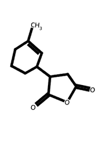 CC1=CC(C2CC(=O)OC2=O)CCC1